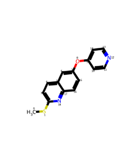 CSc1ccc2cc(Oc3ccncc3)ccc2n1